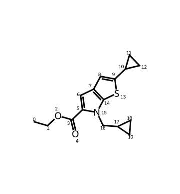 CCOC(=O)c1cc2cc(C3CC3)sc2n1CC1CC1